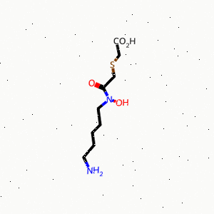 NCCCCCN(O)C(=O)CSCC(=O)O